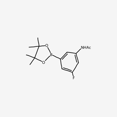 CC(=O)Nc1cc(F)cc(B2OC(C)(C)C(C)(C)O2)c1